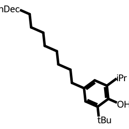 CCCCCCCCCCCCCCCCCCc1cc(C(C)C)c(O)c(C(C)(C)C)c1